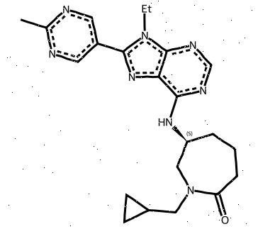 CCn1c(-c2cnc(C)nc2)nc2c(N[C@H]3CCCC(=O)N(CC4CC4)C3)ncnc21